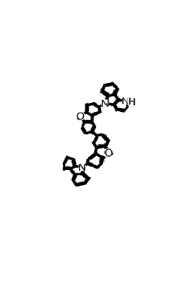 C1=Cc2c(c3ccccc3n2-c2ccc3oc4ccc(-c5ccc6oc7ccc(-n8c9ccccc9c9ccccc98)cc7c6c5)cc4c3c2)NC1